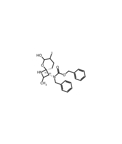 CC1N[C@]2(CCC(I)C(O)O2)[C@@H]1N(Cc1ccccc1)C(=O)OCc1ccccc1